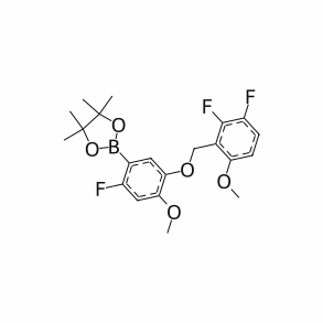 COc1cc(F)c(B2OC(C)(C)C(C)(C)O2)cc1OCc1c(OC)ccc(F)c1F